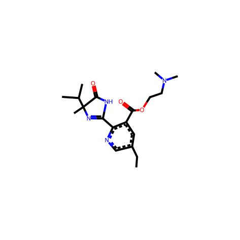 CCc1cnc(C2=NC(C)(C(C)C)C(=O)N2)c(C(=O)OCCN(C)C)c1